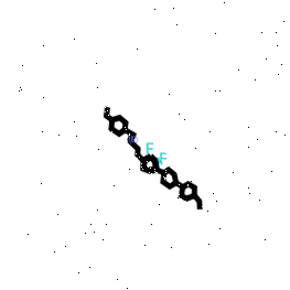 CCC1CCC(/C=C/CCc2ccc(C3CCC(C4CCC(CC)CC4)CC3)c(F)c2F)CC1